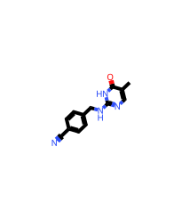 Cc1cnc(NCc2ccc(C#N)cc2)[nH]c1=O